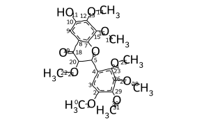 COc1cc(C2Oc3c(cc(O)c(OC)c3OC)C(=O)C2OC)c(OC)c(OC)c1OC